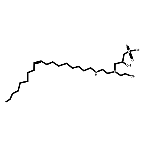 CCCCCCCC/C=C\CCCCCCCCNCCN(CCO)CC(O)CS(=O)(=O)O